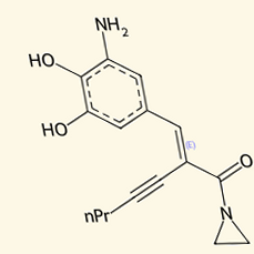 CCCC#C/C(=C\c1cc(N)c(O)c(O)c1)C(=O)N1CC1